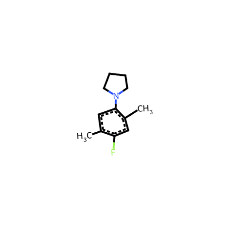 Cc1cc(N2CCCC2)c(C)cc1F